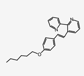 CCCCCCOc1ccc(/C=C/c2cccnc2-c2ccccn2)cc1